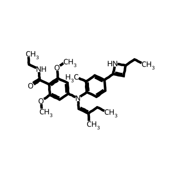 CCNC(=O)c1c(OC)cc(N(/C=C(/C)CC)c2ccc(C3=CC(CC)N3)cc2C)cc1OC